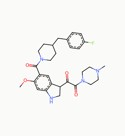 COc1cc2c(cc1C(=O)N1CCC(Cc3ccc(F)cc3)CC1)C(C(=O)C(=O)N1CCN(C)CC1)CN2